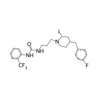 O=C(NCCCN1CCC(Cc2ccc(F)cc2)CC1I)Nc1ccccc1C(F)(F)F